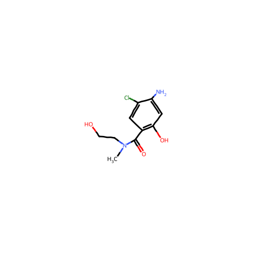 CN(CCO)C(=O)c1cc(Cl)c(N)cc1O